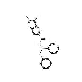 O=C(NC(Cc1ccccc1)c1cccnc1)c1cc2sc(Cl)c(Cl)c2[nH]1